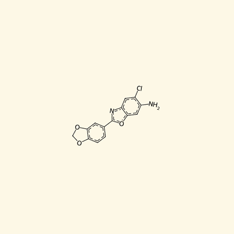 Nc1cc2oc(-c3ccc4c(c3)OCO4)nc2cc1Cl